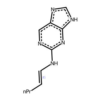 CCC/C=C/Nc1ncc2nc[nH]c2n1